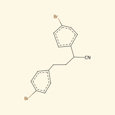 N#CC(CCc1ccc(Br)cc1)c1ccc(Br)cc1